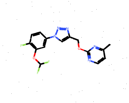 Cc1ccnc(OCc2cn(-c3ccc(F)c(OC(F)F)c3)nn2)n1